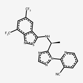 C[C@H](Nc1snc2c(C(F)(F)F)cc(C(F)(F)F)cc12)c1ncnn1-c1ncccc1C#N